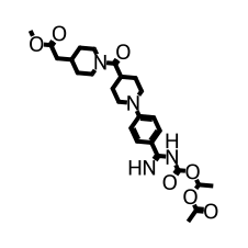 COC(=O)CC1CCN(C(=O)C2CCN(c3ccc(C(=N)NC(=O)OC(C)OC(C)=O)cc3)CC2)CC1